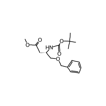 COC(=O)C[C@@H](COCc1ccccc1)NC(=O)OC(C)(C)C